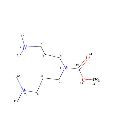 CN(C)CCCN(CCCN(C)C)C(=O)OC(C)(C)C